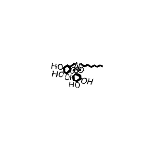 CCCCCCCCN(Cc1cc(O)c(O)c(O)c1)S(=O)(=O)c1ccc(O)c(O)c1